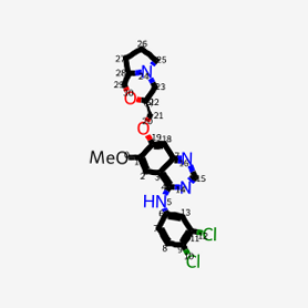 COc1cc2c(Nc3ccc(Cl)c(Cl)c3)ncnc2cc1OC[C@@H]1CN2CCCC2CO1